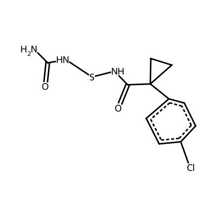 NC(=O)NSNC(=O)C1(c2ccc(Cl)cc2)CC1